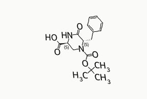 CC(C)(C)OC(=O)N1C[C@@H](C(=O)O)NC(=O)[C@@H]1Cc1ccccc1